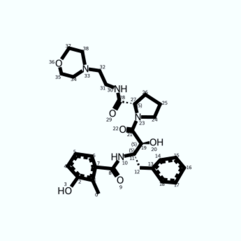 Cc1c(O)cccc1C(=O)N[C@@H](Cc1ccccc1)[C@H](O)C(=O)N1CCC[C@H]1C(=O)NCCN1CCOCC1